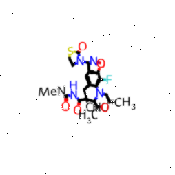 CNC(=O)NC(=O)C1(C=O)Cc2cc3c(N4CCSC4=O)noc3c(F)c2N2C[C@@H](C)O[C@@H](C)C21